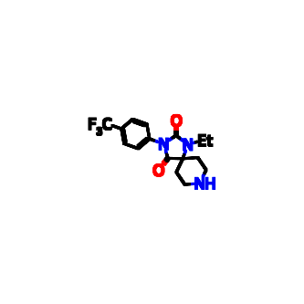 CCN1C(=O)N(c2ccc(C(F)(F)F)cc2)C(=O)C12CCNCC2